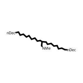 CCCCCCCCCCCCCCCCCCCC(CCCCCCCCCCCCCCCCCC)CNC